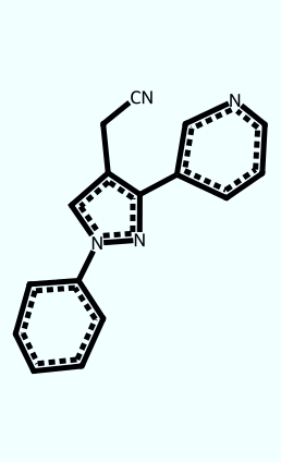 N#CCc1cn(-c2ccccc2)nc1-c1cccnc1